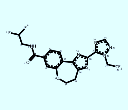 O=C(NCC(F)F)c1ccc2c(c1)OCCc1sc(-c3ncnn3CC(F)(F)F)nc1-2